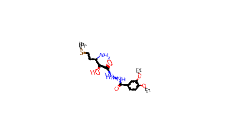 CCOc1ccc(C(=O)NNC(=O)C(O)[C@H](N)CCSC(C)C)cc1OCC